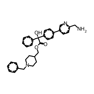 NCc1ccc(-c2ccc([C@](O)(C(=O)OCC3CCN(Cc4ccccc4)CC3)c3ccccc3)cc2)cn1